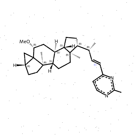 CO[C@@H]1C[C@H]2[C@@H]3CC[C@H]([C@H](C)/C=C/c4ccnc(C)n4)[C@@]3(C)CC[C@@H]2[C@@]2(C)CC[C@@H]3CC312